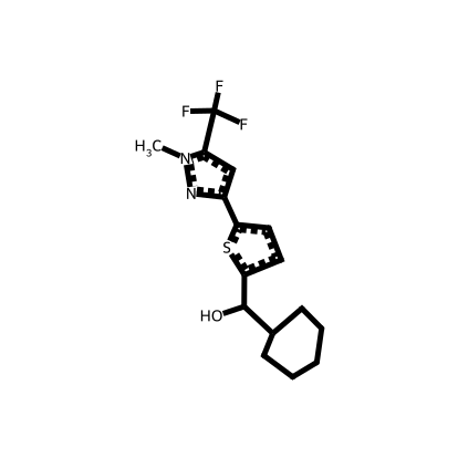 Cn1nc(-c2ccc(C(O)C3CCCCC3)s2)cc1C(F)(F)F